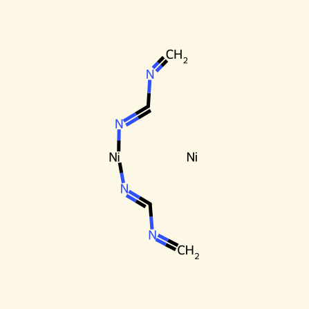 C=NC=[N][Ni][N]=CN=C.[Ni]